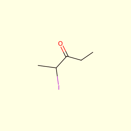 CCC(=O)C(C)I